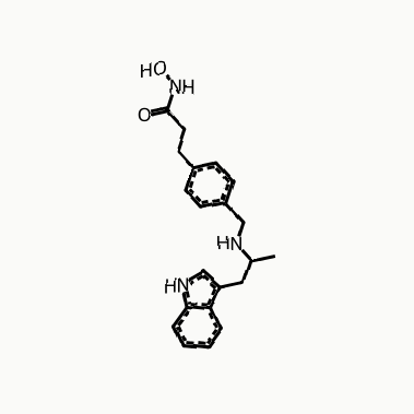 CC(Cc1c[nH]c2ccccc12)NCc1ccc(CCC(=O)NO)cc1